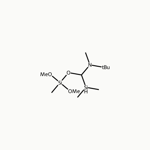 CO[Si](C)(OC)OC(N(C)C(C)(C)C)[SiH](C)C